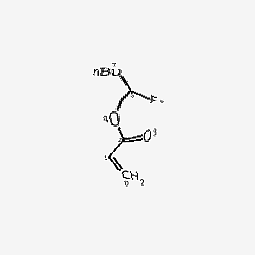 C=CC(=O)OC(F)CCCC